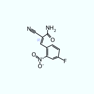 N#C/C(=C/c1ccc(F)cc1[N+](=O)[O-])C(N)=O